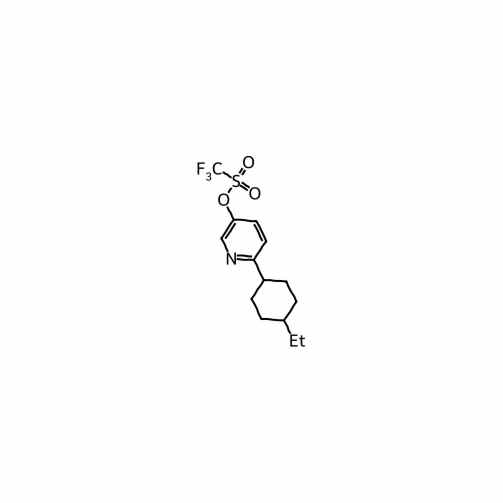 CCC1CCC(c2ccc(OS(=O)(=O)C(F)(F)F)cn2)CC1